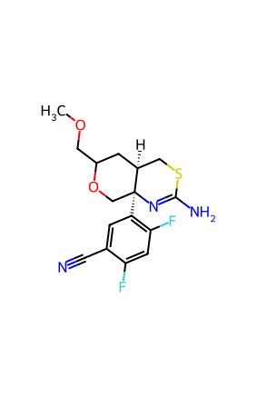 COCC1C[C@H]2CSC(N)=N[C@@]2(c2cc(C#N)c(F)cc2F)CO1